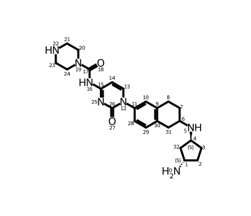 N[C@H]1CC[C@H](NC2CCc3cc(-n4ccc(NC(=O)N5CCNCC5)nc4=O)ccc3C2)C1